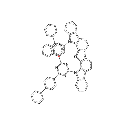 c1ccc(-c2ccc(-c3nc(-c4ccc(-c5ccccc5)cc4)nc(-n4c5ccccc5c5ccc6c7ccc8c9ccccc9n(-c9ccc%10ccccc%10c9)c8c7oc6c54)n3)cc2)cc1